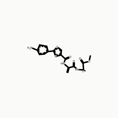 C=C(NC(=O)c1csc(-c2ccc(N)cc2)n1)C(=O)N[C@H](C)C(=O)OC